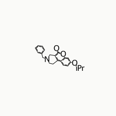 CC(C)Oc1ccc2c3c(c(=O)oc2c1)CN(Cc1ccccc1)CC3